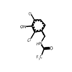 O=Nc1c(Cl)ccc(CNC(=O)C(F)(F)F)c1Cl